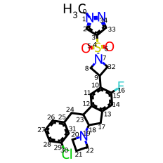 Cn1cc(S(=O)(=O)N2CC(c3cc4c(cc3F)CC(N3CCC3)C4Cc3cccc(Cl)c3)C2)cn1